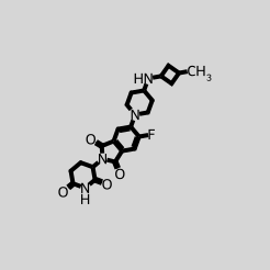 CC1CC(NC2CCN(c3cc4c(cc3F)C(=O)N(C3CCC(=O)NC3=O)C4=O)CC2)C1